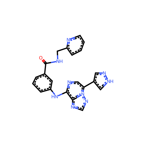 O=C(NCc1ccccn1)c1cccc(Nc2ncc(-c3cn[nH]c3)n3ncnc23)c1